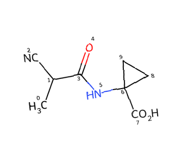 CC(C#N)C(=O)NC1(C(=O)O)CC1